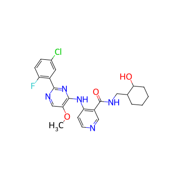 COc1cnc(-c2cc(Cl)ccc2F)nc1Nc1ccncc1C(=O)NCC1CCCCC1O